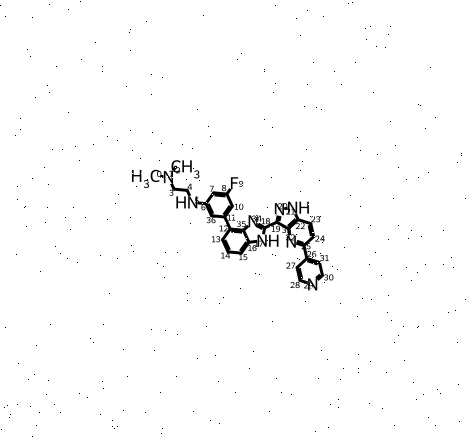 CN(C)CCNc1cc(F)cc(-c2cccc3[nH]c(-c4n[nH]c5ccc(-c6ccncc6)nc45)nc23)c1